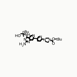 CCCCC(C)(CO)Nc1nc(N)nc2cc(-c3ccc(N4CCN(C(=O)OC(C)(C)C)CC4)nc3)ncc12